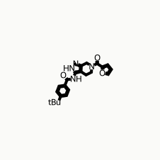 CC(C)(C)c1ccc(C(=O)Nc2[nH]nc3c2CCN(C(=O)c2ccco2)C3)cc1